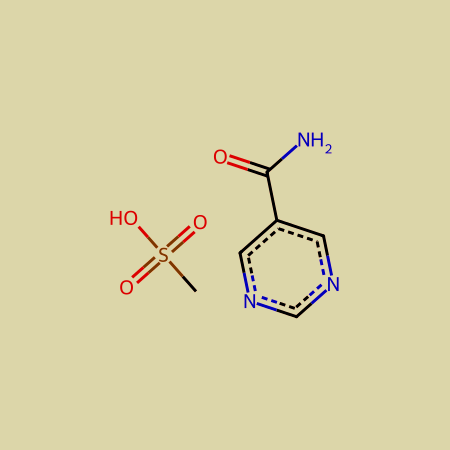 CS(=O)(=O)O.NC(=O)c1cncnc1